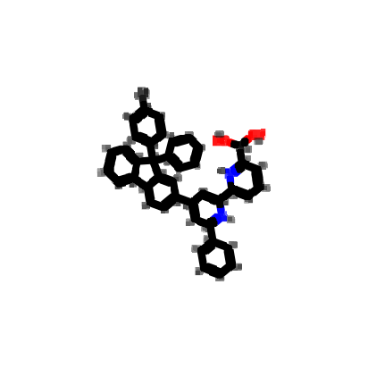 CCc1ccc(C2(c3ccccc3)c3ccccc3-c3ccc(-c4cc(-c5ccccc5)nc(-c5cccc(B(O)O)n5)c4)cc32)cc1